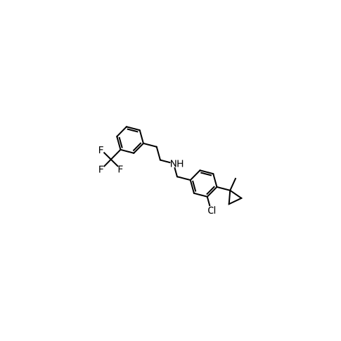 CC1(c2ccc(CNCCc3cccc(C(F)(F)F)c3)cc2Cl)CC1